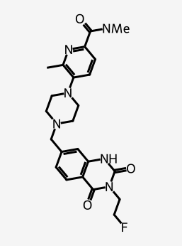 CNC(=O)c1ccc(N2CCN(Cc3ccc4c(=O)n(CCF)c(=O)[nH]c4c3)CC2)c(C)n1